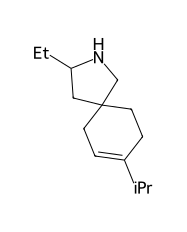 CCC1CC2(CC=C(C(C)C)CC2)CN1